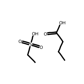 CCCC(=O)O.CCS(=O)(=O)O